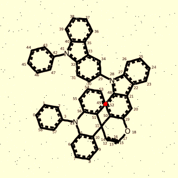 c1ccc(N2c3ccccc3C3(c4ccccc4Oc4cc5c6ccccc6n(-c6ccc7c(c6)c6ccccc6n7-c6ccccc6)c5cc43)c3ccccc32)cc1